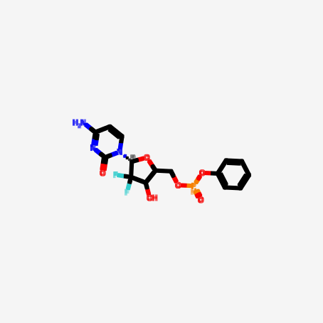 Nc1ccn([C@@H]2OC(CO[PH](=O)Oc3ccccc3)C(O)C2(F)F)c(=O)n1